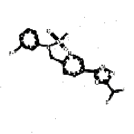 CS(=O)(=O)N(Cc1ccc(-c2nnc(C(F)F)o2)cn1)c1cccc(Br)c1